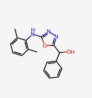 Cc1cccc(C)c1Nc1nnc(C(O)c2ccccc2)o1